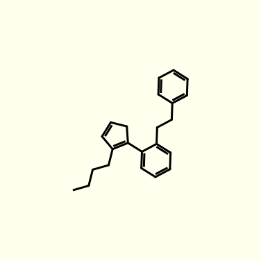 CCCCC1=C(c2ccccc2CCc2ccccc2)CC=C1